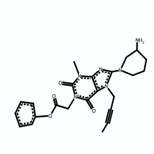 CC#CCn1c(N2CCCC(N)C2)nc2c1c(=O)n(CC(=O)Oc1ccccc1)c(=O)n2C